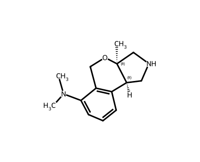 CN(C)c1cccc2c1CO[C@@]1(C)CNC[C@@H]21